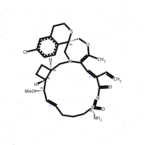 C=C/C1=C\C2=C(C)OC[C@@]3(CN2C[C@@H]2CC[C@H]2[C@@H](OC)/C=C/CCC[S@](N)(=O)=NC1=O)SCCc1cc(Cl)ccc13